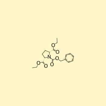 CCOC(=O)[C@H]1CC[C@@H](C(=O)OCC)N1C(=O)OCc1ccccc1